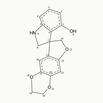 Oc1cccc2c1C1(CN2)COc2cc3c(cc21)OCCO3